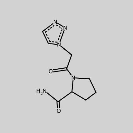 NC(=O)C1CCCN1C(=O)Cn1ccnn1